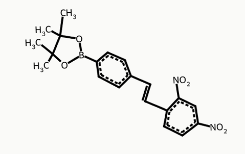 CC1(C)OB(c2ccc(/C=C/c3ccc([N+](=O)[O-])cc3[N+](=O)[O-])cc2)OC1(C)C